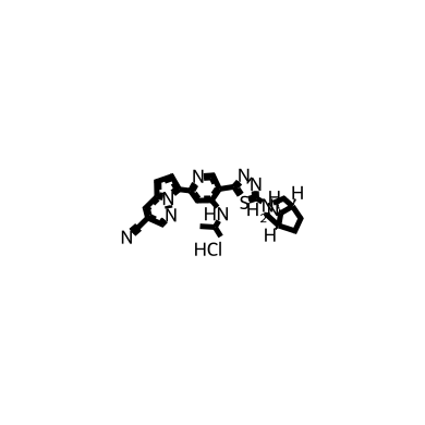 CC(C)Nc1cc(-c2ccc3cc(C#N)cnn23)ncc1-c1nnc(N2C[C@H]3CC[C@@H](C2)[C@H]3N)s1.Cl